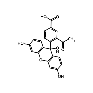 CC(=O)c1cc(C(=O)O)ccc1C1(O)c2ccc(O)cc2Oc2cc(O)ccc21